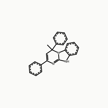 CC1(c2ccccc2)C=C(c2ccccc2)N=C2Nc3ccccc3N21